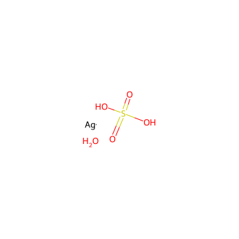 O.O=S(=O)(O)O.[Ag]